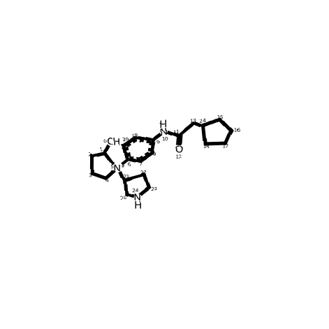 CC1CCC[N+]1(c1ccc(NC(=O)CC2CCCC2)cc1)C1CCNC1